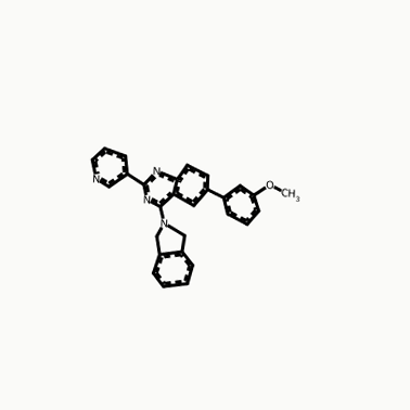 COc1cccc(-c2ccc3nc(-c4cccnc4)nc(N4Cc5ccccc5C4)c3c2)c1